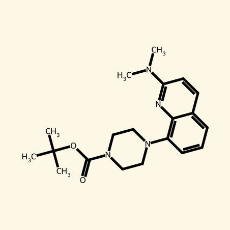 CN(C)c1ccc2cccc(N3CCN(C(=O)OC(C)(C)C)CC3)c2n1